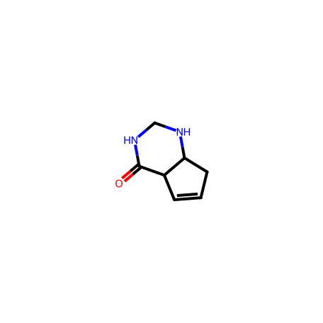 O=C1NCNC2CC=CC12